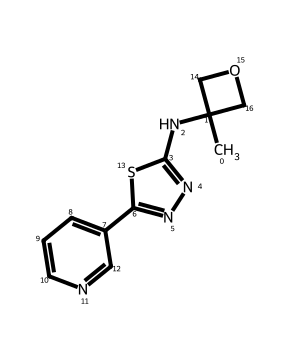 CC1(Nc2nnc(-c3cccnc3)s2)COC1